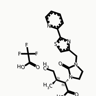 CC[C@H](C)[C@@H](C(=O)O)N1CCN(Cc2csc(-c3ccccn3)n2)C1=O.O=C(O)C(F)(F)F